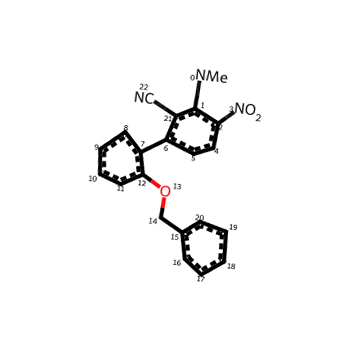 CNc1c([N+](=O)[O-])ccc(-c2ccccc2OCc2ccccc2)c1C#N